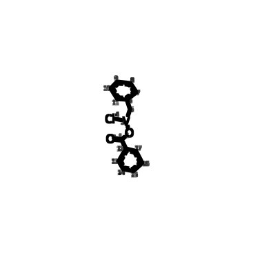 O=C([O][V]([Cl])[CH2]c1ccccc1)c1ccccc1